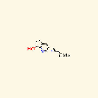 COC/C=C/c1cnc2c(c1)CCC2O